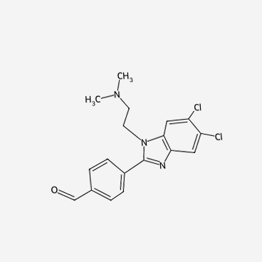 CN(C)CCn1c(-c2ccc(C=O)cc2)nc2cc(Cl)c(Cl)cc21